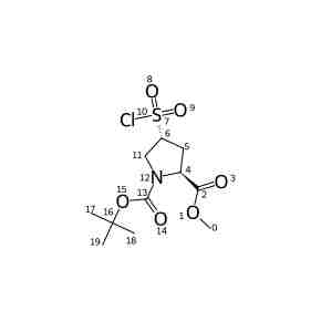 COC(=O)[C@@H]1C[C@@H](S(=O)(=O)Cl)CN1C(=O)OC(C)(C)C